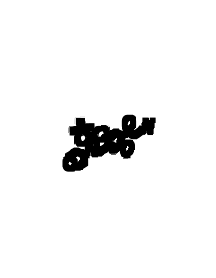 COc1cc(CN(C(=O)OC(C)(C)C)C2CCOCC2)ccc1C(=O)CC#N